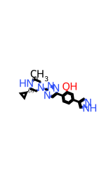 C[C@@H]1CN(c2ncc(-c3ccc(-c4cn[nH]c4)cc3O)nn2)C[C@H](C2CC2)N1